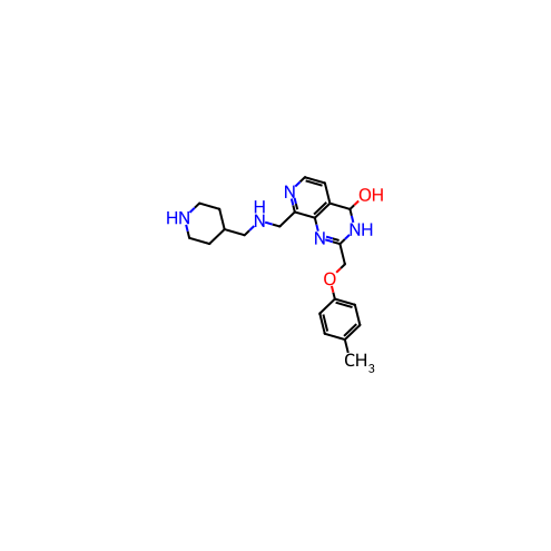 Cc1ccc(OCC2=Nc3c(ccnc3CNCC3CCNCC3)C(O)N2)cc1